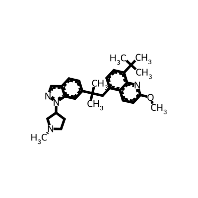 COc1ccc2c(CC(C)(C)c3ccc4cnn(C5CCN(C)C5)c4c3)ccc(C(C)(C)C)c2n1